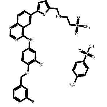 CS(=O)(=O)CCNCc1ccc(-c2ccc3ncnc(Nc4ccc(OCc5cccc(F)c5)c(Cl)c4)c3c2)o1.Cc1ccc(S(=O)(=O)O)cc1